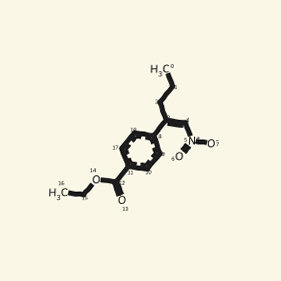 CCC/C(=C/[N+](=O)[O-])c1ccc(C(=O)OCC)cc1